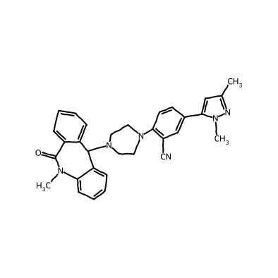 Cc1cc(-c2ccc(N3CCN(C4c5ccccc5C(=O)N(C)c5ccccc54)CC3)c(C#N)c2)n(C)n1